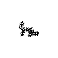 c1ccc(-c2cccc(-c3nc(-c4ccccc4)nc(-c4ccc5c(c4)sc4c(-n6c7ccccc7c7cc8ccccc8cc76)cccc45)n3)c2)cc1